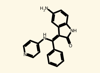 Nc1ccc2c(c1)C(=C(Nc1ccncc1)c1ccccc1)C(=O)N2